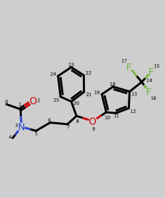 CC(=O)N(C)CCCC(Oc1ccc(C(F)(F)F)cc1)c1ccccc1